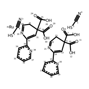 N#CS.N#CS.O=C(O)C1(C(=O)O)C=C(c2ccccn2)N=CC1.O=C(O)C1(C(=O)O)C=C(c2ccccn2)N=CC1.[Ru]